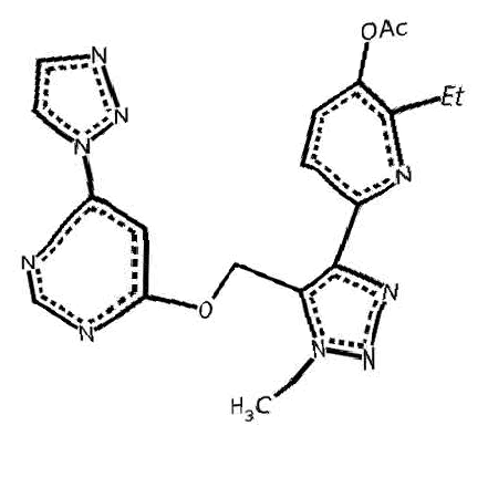 CCc1nc(-c2nnn(C)c2COc2cc(-n3ccnn3)ncn2)ccc1OC(C)=O